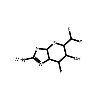 CNC1=NC2C(S1)SC(C(F)F)C(O)C2F